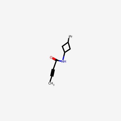 CC#CC(=O)NC1CC(C(C)C)C1